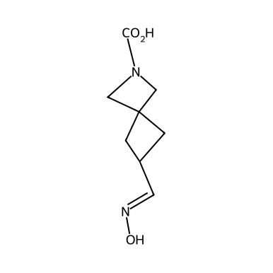 O=C(O)N1CC2(CC(C=NO)C2)C1